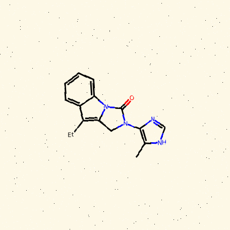 CCc1c2n(c3ccccc13)C(=O)N(c1nc[nH]c1C)C2